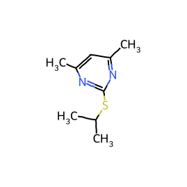 Cc1cc(C)nc(SC(C)C)n1